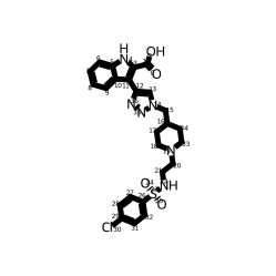 O=C(O)c1[nH]c2ccccc2c1-c1cn(CC2CCN(CCNS(=O)(=O)c3ccc(Cl)cc3)CC2)nn1